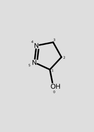 OC1CCN=N1